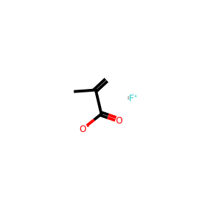 C=C(C)C(=O)[O-].[F+]